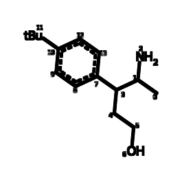 CC(N)C(CCO)c1ccc(C(C)(C)C)cc1